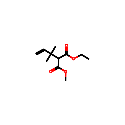 C=CC(C)(C)C(C(=O)OC)C(=O)OCC